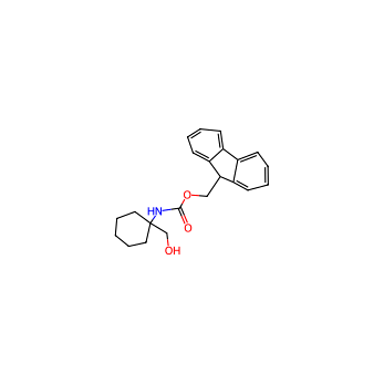 O=C(NC1(CO)CCCCC1)OCC1c2ccccc2-c2ccccc21